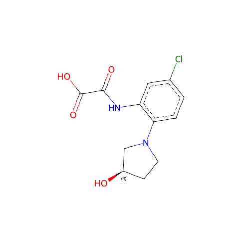 O=C(O)C(=O)Nc1cc(Cl)ccc1N1CC[C@@H](O)C1